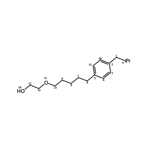 CC(C)Cc1ccc(CCCCCOCCO)cc1